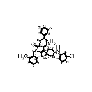 Cc1cccc(F)c1Cn1c2c(c(=O)n(C[C@H](N)c3ccccc3)c1=O)C1(CCC(Nc3cccc(Cl)c3)CC1)OC2